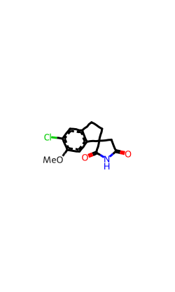 COc1cc2c(cc1Cl)CCC21CC(=O)NC1=O